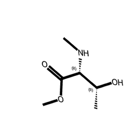 CN[C@@H](C(=O)OC)[C@@H](C)O